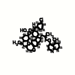 C[C@@H](COc1ccnc2c1[C@H](C)CCC2)C[C@H]1Cc2cc3c(cc2C12CCC(Nc1cccc(Cl)c1)(C(=O)O)CC2)O[C@@H](CN(C)C1CCC(=O)CC1)CCO3